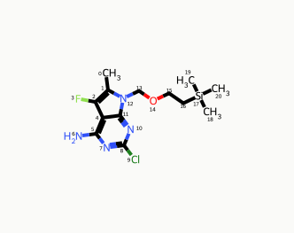 Cc1c(F)c2c(N)nc(Cl)nc2n1COCC[Si](C)(C)C